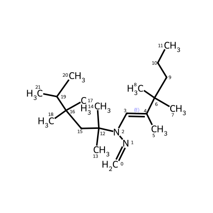 C=NN(/C=C(\C)C(C)(C)CCC)C(C)(C)CC(C)(C)C(C)C